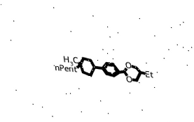 CCCCCC1(C)CCC(c2ccc(C3OCC(CC)CO3)cc2)CC1